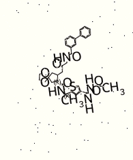 CC(=O)ONC(=N)c1csc([C@@H](C)NC(=O)[C@@H]2CC3(CC2CC(=O)CNC(=O)c2cccc(-c4ccccc4)c2)OCCO3)c1